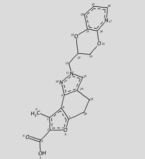 Cc1c(C(=O)O)oc2c1-c1nn(CC3COc4ncccc4O3)cc1CC2